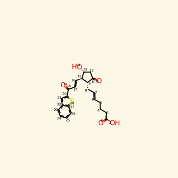 O=C(O)CCCC=CC[C@H]1C(=O)C[C@@H](O)[C@@H]1C=CC(=O)c1cc2ccccc2s1